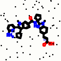 Cn1c(C2(NC(=O)c3ccc4c(C5CCCC5)c(-c5cccc(N)n5)n(C)c4c3)CC=CC2)nc2cc(/C=C/C(=O)O)ccc21